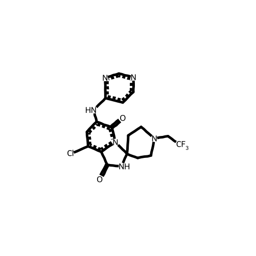 O=C1NC2(CCN(CC(F)(F)F)CC2)n2c1c(Cl)cc(Nc1ccncn1)c2=O